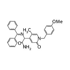 COc1ccc(Cn2cc(C)c(C(N=C(c3ccccc3)c3ccccc3)C(N)=O)cc2=O)cc1